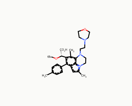 Cc1ccc(-c2c([C@H](OC(C)(C)C)C(=O)O)c(C)c3c4c2cc(C)n4CCN3CCN2CCOCC2)cc1